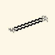 CCCCCCCCCCCCCCCCCN.CCCCCCCCCCCCCCCCN